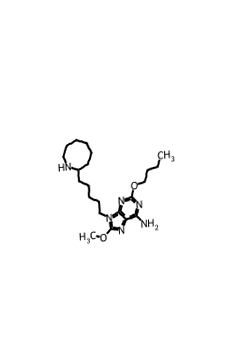 CCCCOc1nc(N)c2nc(OC)n(CCCCCC3CCCCCCN3)c2n1